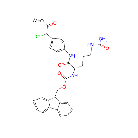 COC(=O)C(Cl)c1ccc(NC(=O)[C@H](CCCNC(N)=O)NC(=O)OCC2c3ccccc3-c3ccccc32)cc1